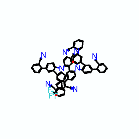 N#Cc1ccc(-n2c3ccc(-c4ccccc4C#N)cc3c3cc(-c4ccccc4C#N)ccc32)c(-c2cc(-c3ccc(C(F)(F)F)cc3C#N)ccc2-n2c3ccc(-c4ccccc4C#N)cc3c3cc(-c4ccccc4C#N)ccc32)c1